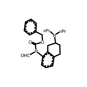 CCCN(CCC)C1CCc2cccc(N(C=O)C(=O)OCc3ccccc3)c2C1